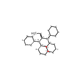 CC=C(N(C1CCCCC1)C1CCCCC1)N(C1CCCCC1)C1CCCCC1